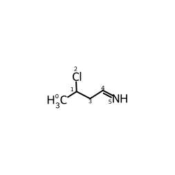 CC(Cl)CC=N